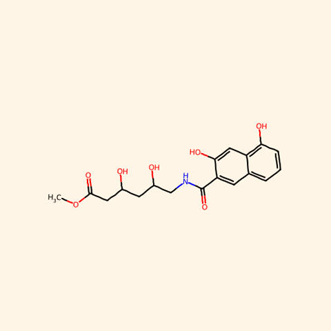 COC(=O)CC(O)CC(O)CNC(=O)c1cc2cccc(O)c2cc1O